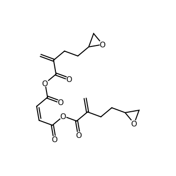 C=C(CCC1CO1)C(=O)OC(=O)/C=C\C(=O)OC(=O)C(=C)CCC1CO1